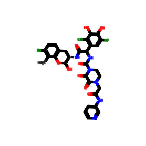 O=C(CN1CCN(C(=O)NC(C(=O)N[C@H]2Cc3ccc(F)c(C(=O)O)c3OB2O)c2cc(F)c(O)c(O)c2Cl)C(=O)C1=O)Nc1cccnc1